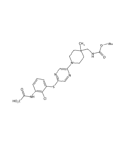 CC1(CNC(=O)OC(C)(C)C)CCN(c2cnc(Sc3cccc(NC(=O)C(=O)O)c3Cl)cn2)CC1